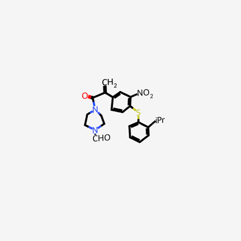 C=C(C(=O)N1CCN(C=O)CC1)c1ccc(Sc2ccccc2C(C)C)c([N+](=O)[O-])c1